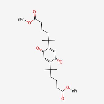 CCCOC(=O)CCCC(C)(C)C1=CC(=O)C(C(C)(C)CCCC(=O)OCCC)=CC1=O